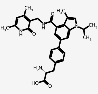 Cc1cc(C)c(CNC(=O)c2cc(-c3ccc(C[C@@H](N)C(=O)O)cc3)cc3c2c(C)cn3C(C)C)c(=O)[nH]1